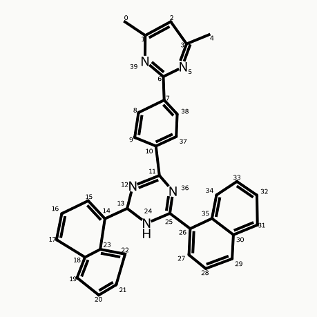 Cc1cc(C)nc(-c2ccc(C3=NC(c4cccc5ccccc45)NC(c4cccc5ccccc45)=N3)cc2)n1